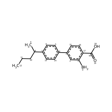 Bc1cc(-c2ccc(C(C)CCC)cc2)ccc1C(=O)O